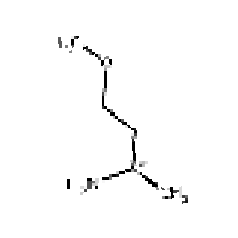 COCC[C@@H](C)N